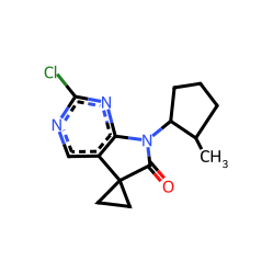 CC1CCCC1N1C(=O)C2(CC2)c2cnc(Cl)nc21